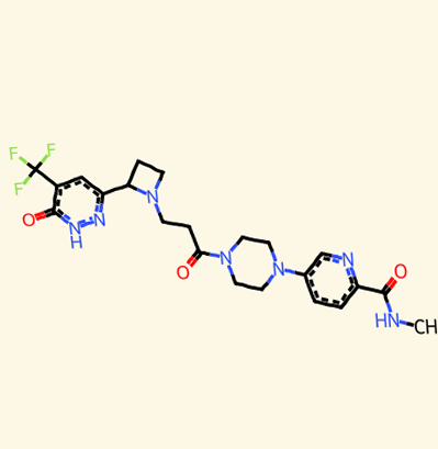 CNC(=O)c1ccc(N2CCN(C(=O)CCN3CCC3c3cc(C(F)(F)F)c(=O)[nH]n3)CC2)cn1